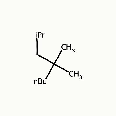 [CH2]CCCC(C)(C)CC(C)C